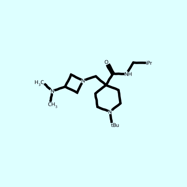 CC(C)CNC(=O)C1(CN2CC(N(C)C)C2)CCN(C(C)(C)C)CC1